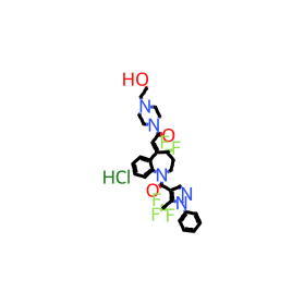 Cl.O=C(/C=C1/c2ccccc2N(C(=O)c2cnn(-c3ccccc3)c2C(F)(F)F)CCC1(F)F)N1CCN(CCO)CC1